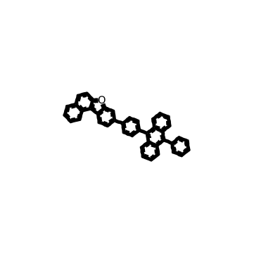 c1ccc(-c2c3ccccc3c(-c3ccc(-c4ccc5c(c4)oc4ccc6ccccc6c45)cc3)c3ccccc23)cc1